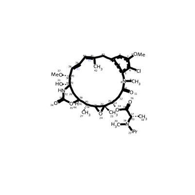 COc1cc2cc(c1Cl)N(C)C(=O)C[C@H](OC(=O)[C@H](C)N(C)C(C)C)[C@]1(C)OC1[C@H](C)[C@@H]1C[C@@](O)(NC(=O)O1)[C@H](OC)/C=C/C=C(\C)C2